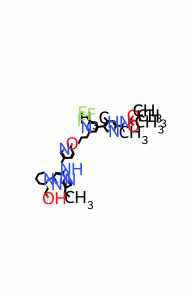 CCc1cnn2c(NCc3ccc(OCCCc4cc(-c5cnc([C@H](C)NC(=O)OC(C)(C)C)cc5C)cc(C(F)(F)F)n4)nc3)cc(N3CCCC[C@H]3CCO)nc12